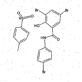 Cc1ccc([SH](=O)=O)cc1.O=C(Nc1ccc(Br)cc1)c1cc(Br)cc(Br)c1O